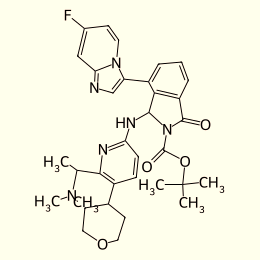 CC(c1nc(NC2c3c(cccc3-c3cnc4cc(F)ccn34)C(=O)N2C(=O)OC(C)(C)C)ccc1C1CCOCC1)N(C)C